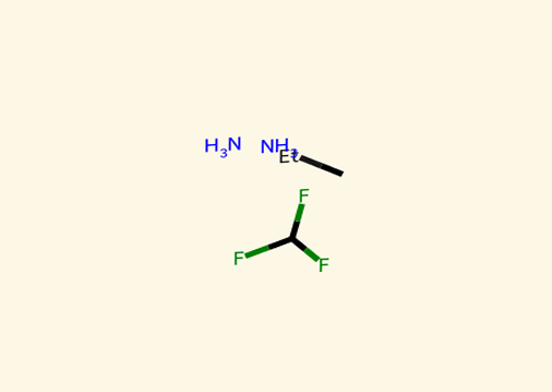 CCC.FC(F)F.N.N